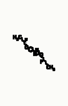 CCCC[C@H](F)CCOc1cnc(-c2ccc(OCC[C@@H](F)CCC)cc2)nc1